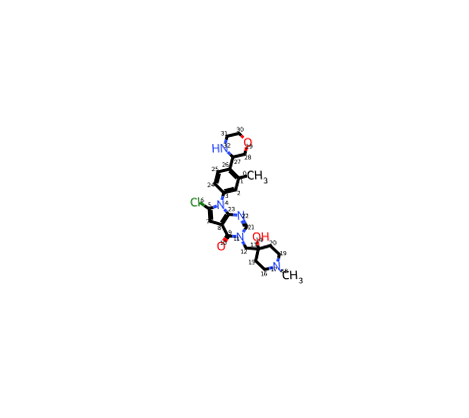 Cc1cc(-n2c(Cl)cc3c(=O)n(CC4(O)CCN(C)CC4)cnc32)ccc1C1COCCN1